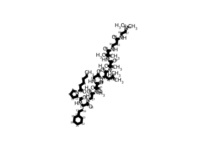 CCCCCC(=O)N1CCC[C@H]1C(=O)N[C@@H](CCC1CCCCC1)C(=O)NCC(=O)NC(C)(C)C(=O)NCC(=O)NC(CC(C)C)C(=O)NC(C)(C)C(=O)NC(C)(C)C(=O)NCCC(=O)NCCN(C)C